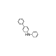 C1=CCC(NC2C=CC(c3ccccc3)=CC2)C=C1